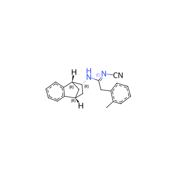 Cc1ccccc1C/C(=N\C#N)N[C@@H]1C[C@H]2C[C@@H]1c1ccccc12